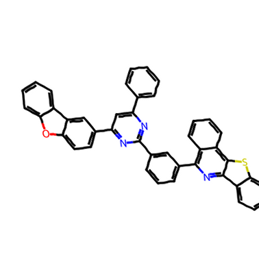 c1ccc(-c2cc(-c3ccc4oc5ccccc5c4c3)nc(-c3cccc(-c4nc5c6ccccc6sc5c5ccccc45)c3)n2)cc1